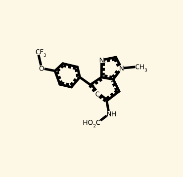 Cn1cnc2c(-c3ccc(OC(F)(F)F)cc3)cc(NC(=O)O)cc21